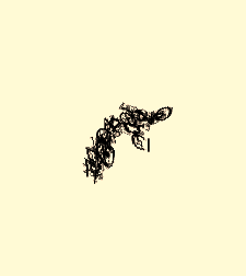 Cc1cc(Cl)cc(-c2ccnc3cc(Cn4c(=O)ccn(CC(F)(F)F)c4=O)sc23)c1O[C@@H]1CN(C2COC2)C[C@@H]1C